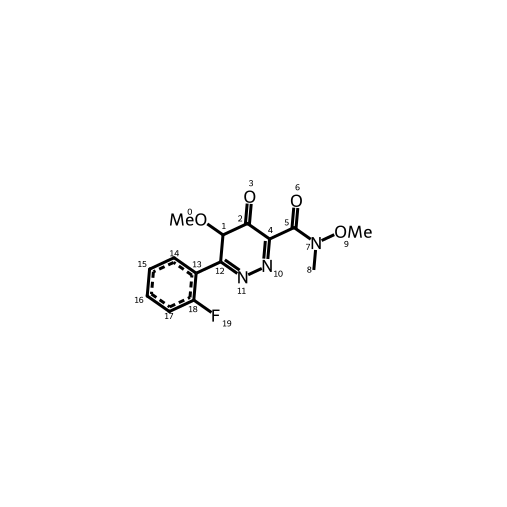 COC1C(=O)C(C(=O)N(C)OC)=NN=C1c1ccccc1F